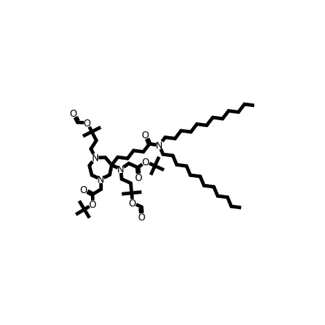 CCCCCCCCCCCCN(CCCCCCCCCCCC)C(=O)CCCCC1(N(CCC(C)(C)OC=O)CC(=O)OC(C)(C)C)CN(CCC(C)(C)OC=O)CCN(CC(=O)OC(C)(C)C)C1